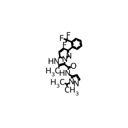 CC1=C(C(=O)Nc2ccnn2C(C)C)N2N=C(c3ccccc3C(F)(F)F)C=CC2N1